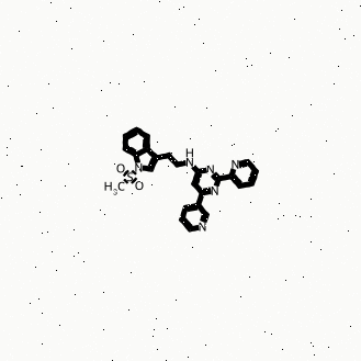 CS(=O)(=O)n1cc(CCNc2cc(-c3cccnc3)nc(-c3ccccn3)n2)c2ccccc21